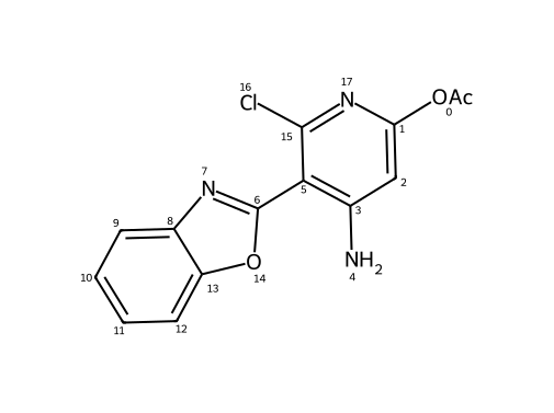 CC(=O)Oc1cc(N)c(-c2nc3ccccc3o2)c(Cl)n1